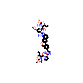 CC[C@H](C)[C@H](NC(=O)OC)C(=O)N1C[C@@H](COC)C[C@H]1c1nc2ccc3cc4c(cc3c2[nH]1)OCc1cc(-c2cnc([C@@H]3CC[C@H](C)N3C(O)[C@@H](NC(=O)OC)[C@@H](C)CC)[nH]2)ccc1-4